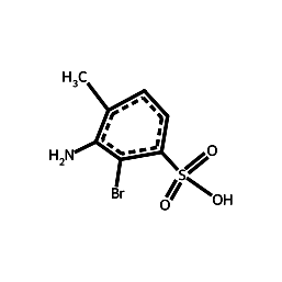 Cc1ccc(S(=O)(=O)O)c(Br)c1N